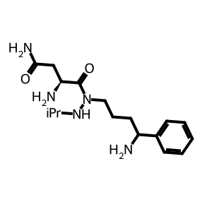 CC(C)NN(CCCC(N)c1ccccc1)C(=O)[C@@H](N)CC(N)=O